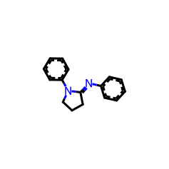 c1ccc(N=C2CCCN2c2ccccc2)cc1